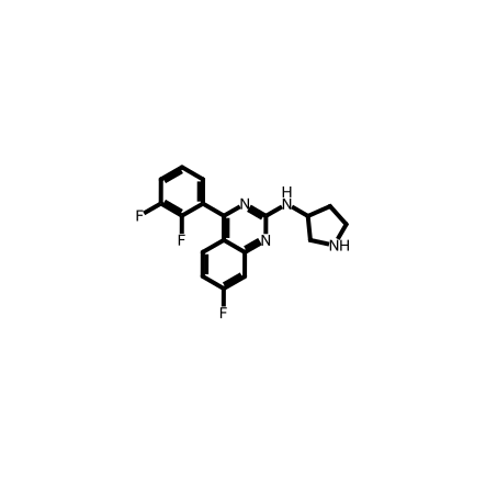 Fc1ccc2c(-c3cccc(F)c3F)nc(NC3CCNC3)nc2c1